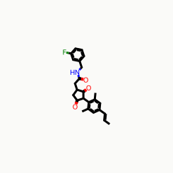 C/C=C/c1cc(C)c(C2C(=O)CC(CC(=O)NCc3cccc(F)c3)C2=O)c(C)c1